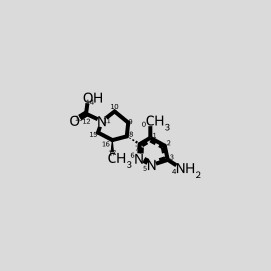 Cc1cc(N)nnc1[C@H]1CCN(C(=O)O)C[C@@H]1C